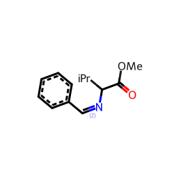 COC(=O)C(/N=C\c1ccccc1)C(C)C